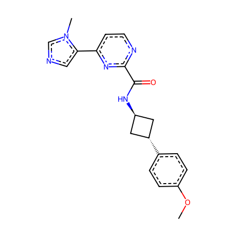 COc1ccc([C@H]2C[C@H](NC(=O)c3nccc(-c4cncn4C)n3)C2)cc1